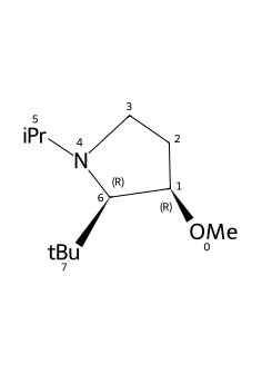 CO[C@@H]1CCN(C(C)C)[C@@H]1C(C)(C)C